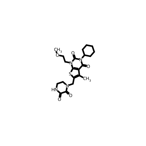 COCCn1c(=O)n(C2CCCCC2)c(=O)c2c(C)c(CN3CCNC(=O)C3=O)sc21